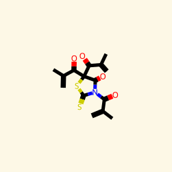 C=C(C)C(=O)N1C(=O)C(C(=O)C(=C)C)(C(=O)C(=C)C)SC1=S